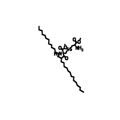 CCCCCCCCCCCCCCC(CCCCCCCCCCCCCC)C(=O)[C@](N)(CSSC[C@H](N)C(=O)OC)C(=O)OC